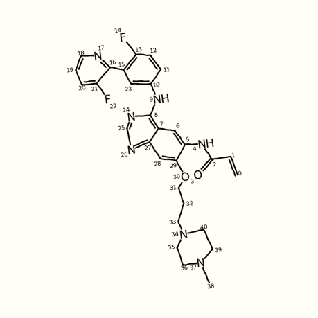 C=CC(=O)Nc1cc2c(Nc3ccc(F)c(-c4ncccc4F)c3)ncnc2cc1OCCCN1CCN(C)CC1